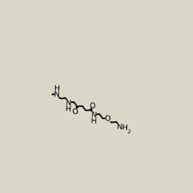 CNCCNCC(=O)CCC(=O)NCCOCCN